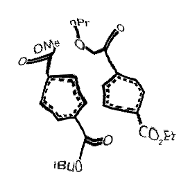 CCCOC(=O)c1ccc(C(=O)OCC)cc1.COC(=O)c1ccc(C(=O)OCC(C)C)cc1